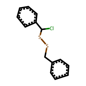 ClC(SSCc1ccccc1)c1ccccc1